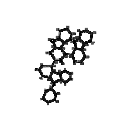 c1ccc(-n2c3ccccc3c3c(-c4nc(-c5cccc6c5sc5ccccc56)c5c(n4)oc4ccccc45)cccc32)cc1